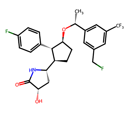 C[C@@H](O[C@H]1CC[C@@H]([C@@H]2C[C@H](O)C(=O)N2)[C@@H]1c1ccc(F)cc1)c1cc(CF)cc(C(F)(F)F)c1